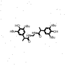 CCCCc1cc(C(C)C(=O)NCNC(=O)C(C)c2cc(CCCC)c(O)c(CCCC)c2)cc(CCCC)c1O